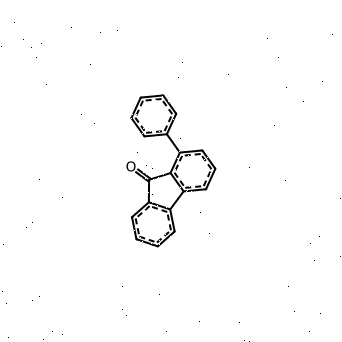 O=C1c2ccccc2-c2cccc(-c3ccccc3)c21